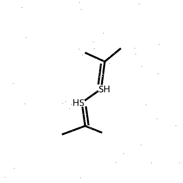 CC(C)=[SH][SH]=C(C)C